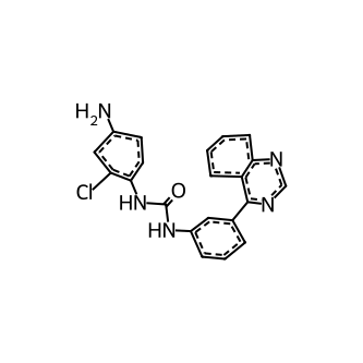 Nc1ccc(NC(=O)Nc2cccc(-c3ncnc4ccccc34)c2)c(Cl)c1